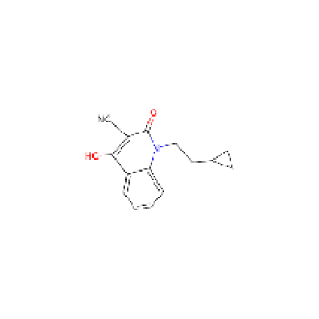 N#Cc1c(O)c2ccccc2n(CCC2CC2)c1=O